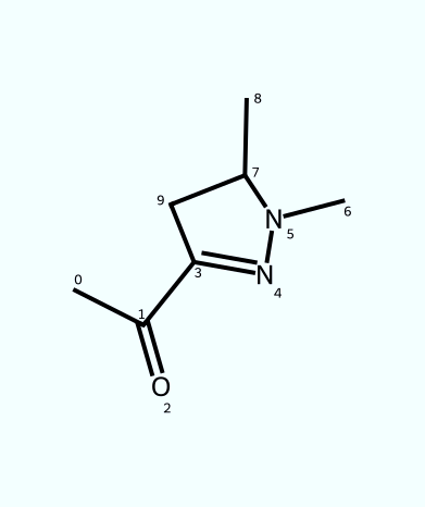 CC(=O)C1=NN(C)C(C)C1